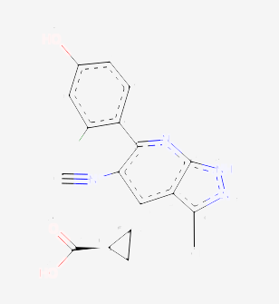 [C-]#[N+]c1c(-c2ccc(O)cc2F)nc2[nH]nc(C)c2c1[C@@H]1C[C@H]1C(=O)O